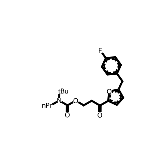 CCCN(C(=O)OCCC(=O)c1ccc(Cc2ccc(F)cc2)o1)C(C)(C)C